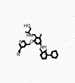 Cc1cc(NCc2cccc(-c3ccccc3)c2C)cc(OCc2cncc(C#N)c2)c1CNC(C)CO